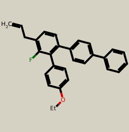 C=CCc1c[c]c(-c2ccc(-c3ccccc3)cc2)c(-c2ccc(OCC)cc2)c1F